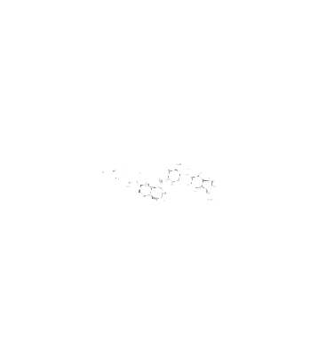 C=CC(=O)N[C@H]1CCCN(c2ccc3ncnc(Nc4ccc(Oc5ccc6c(c5)nnn6C)c(C)c4F)c3n2)[C@@H]1C